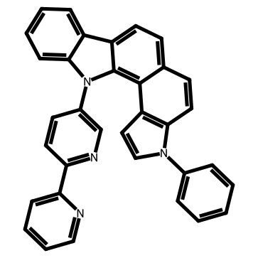 c1ccc(-n2ccc3c4c(ccc5c6ccccc6n(-c6ccc(-c7ccccn7)nc6)c54)ccc32)cc1